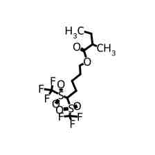 CCC(C)C(=O)OCCCCC(S(=O)(=O)C(F)(F)F)S(=O)(=O)C(F)(F)F